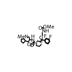 CNCC(NC(=O)N1CCC[C@@H]([C@@H](OCCNC(=O)OC)c2cccc(F)c2F)C1)C(O)C1CCCC1